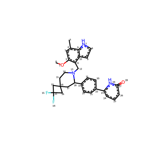 COc1cc(C)c2[nH]ccc2c1CN1CCC2(CC1c1ccc(-c3cccc(=O)[nH]3)cc1)CC(F)(F)C2